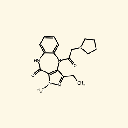 CCc1nn(C)c2c1N(C(=O)CN1CCCC1)c1ccccc1NC2=O